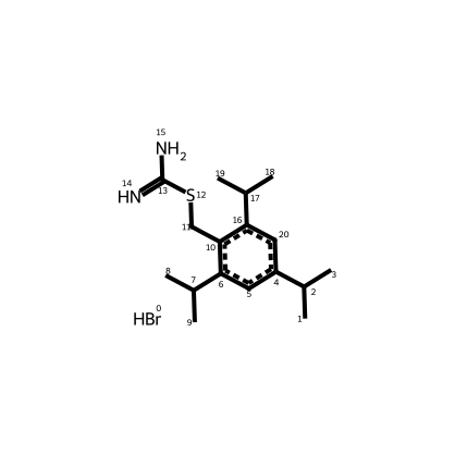 Br.CC(C)c1cc(C(C)C)c(CSC(=N)N)c(C(C)C)c1